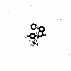 [2H]C([2H])([2H])Oc1cc(Cl)ccc1C1(C)C=C(F)c2cccc(N3CCCCC3)c2O1